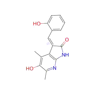 Cc1nc2c(c(C)c1O)/C(=C/c1ccccc1O)C(=O)N2